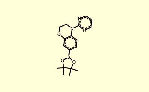 CC1(C)OB(c2ccc3c(c2)OCCN3c2ncccn2)OC1(C)C